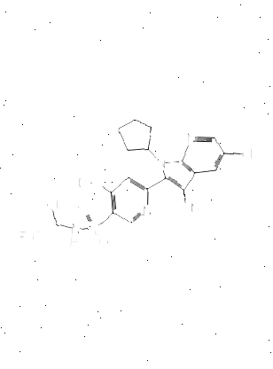 Cc1cc(-c2c(C#N)c3cc(Cl)cnc3n2C2CCCC2)ncc1S(=O)(=O)N[C@@H](C)C(F)(F)F